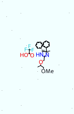 COCC(C)OCC1=N[C@@](C)(c2ccccc2)[C@@H](c2ccccc2)N1.O=C(O)C(F)(F)F